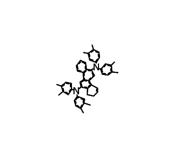 Cc1ccc(N(c2ccc(C)c(C)c2)c2cc3c(cc(N(c4ccc(C)c(C)c4)c4ccc(C)c(C)c4)c4ccccc43)c3c2CCC=C3)cc1C